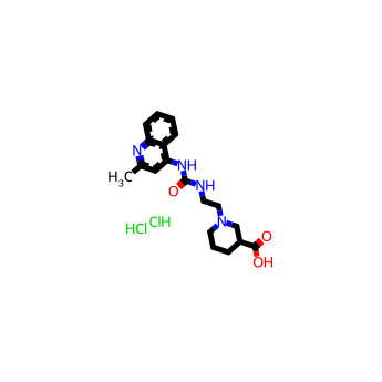 Cc1cc(NC(=O)NCCN2CCCC(C(=O)O)C2)c2ccccc2n1.Cl.Cl